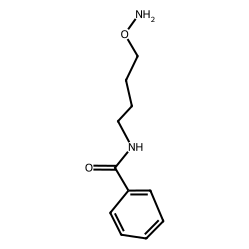 NOCCCCNC(=O)c1ccccc1